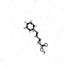 COC(=O)N=CC=Cc1ccccc1